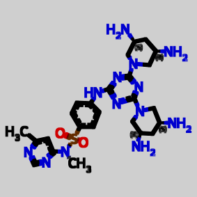 Cc1cc(N(C)S(=O)(=O)c2ccc(Nc3nc(N4C[C@H](N)C[C@H](N)C4)nc(N4C[C@H](N)C[C@H](N)C4)n3)cc2)ncn1